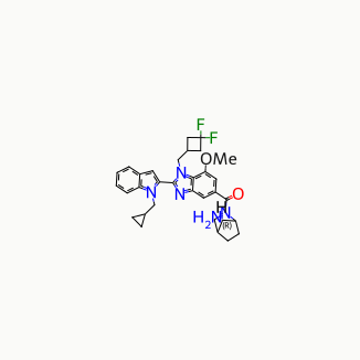 COc1cc(C(=O)N2CC3CCC2[C@@H]3N)cc2nc(-c3cc4ccccc4n3CC3CC3)n(CC3CC(F)(F)C3)c12